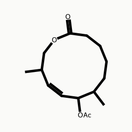 CC(=O)OC1C=CC(C)COC(=O)CCCCC1C